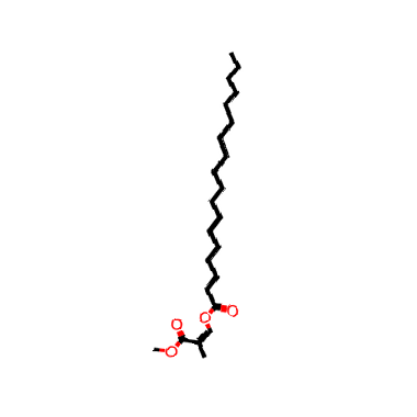 CCCCCCCCCCCCCCCCCC(=O)OC=C(C)C(=O)OC